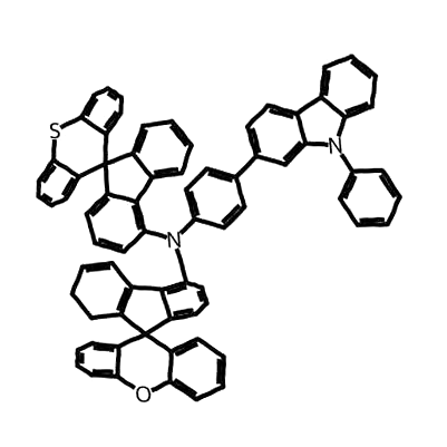 C1=CC2=C(CC1)C1(c3ccccc3Oc3ccccc31)c1cccc(N(c3ccc(-c4ccc5c6ccccc6n(-c6ccccc6)c5c4)cc3)c3cccc4c3-c3ccccc3C43c4ccccc4Sc4ccccc43)c12